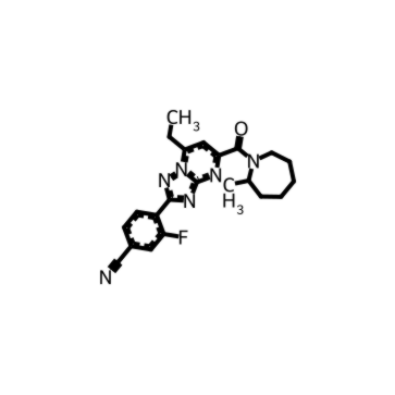 CCc1cc(C(=O)N2CCCCCC2C)nc2nc(-c3ccc(C#N)cc3F)nn12